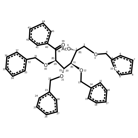 CC(=O)O[C@H](COCc1ccccc1)[C@@H](OCc1ccccc1)[C@H](OCc1ccccc1)[C@@H](OCc1ccccc1)C(=O)c1ccccc1